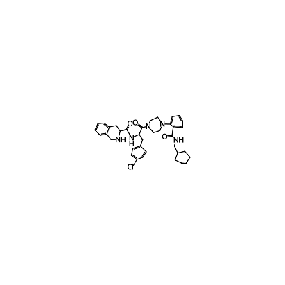 O=C(NCC1CCCCC1)c1ccccc1N1CCN(C(=O)[C@@H](Cc2ccc(Cl)cc2)NC(=O)[C@@H]2Cc3ccccc3CN2)CC1